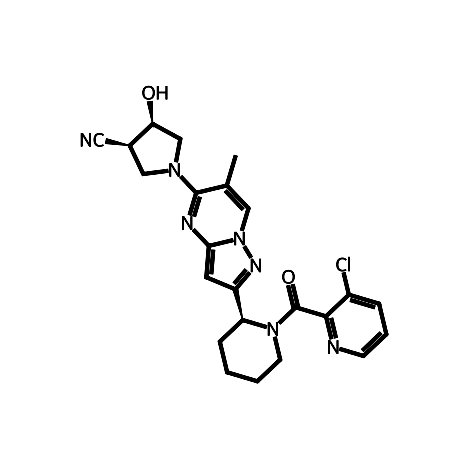 Cc1cn2nc([C@@H]3CCCCN3C(=O)c3ncccc3Cl)cc2nc1N1C[C@@H](C#N)[C@@H](O)C1